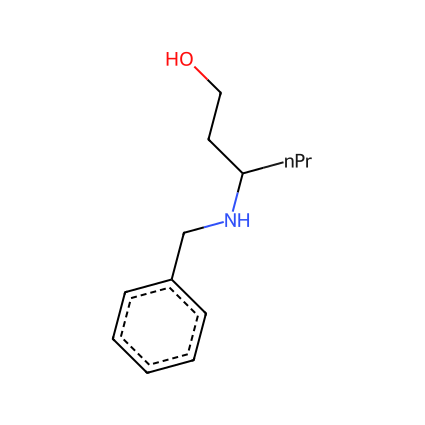 CCCC(CCO)NCc1ccccc1